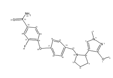 COc1nn(C)cc1C1CCCN1Cc1ccc(Oc2ccc(C(N)=O)cc2F)cc1